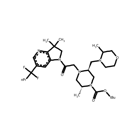 CCCC(F)(F)c1cnc2c(c1)N(C(=O)CN1C[C@@H](C)N(C(=O)OC(C)(C)C)C[C@@H]1CN1CCOCC1C)CC2(C)C